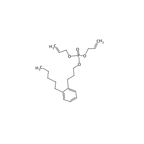 C=CCOP(=O)(OCC=C)OCCCc1ccccc1CCCCC